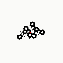 c1ccc2c(c1)ccc1c2c2c3c(cc4c5ccccc5n1c42)c1ccccc1n3-c1ccc2c3c(cccc13)-c1nc3ccccc3nc1-2